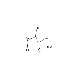 ClCCl.O=C([O-])OCO.[Na+]